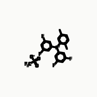 Cc1ccc(C)c([S+](c2cc(F)cc(F)c2)c2cc(F)cc(F)c2)c1.O=S(=O)([O-])C(F)(F)F